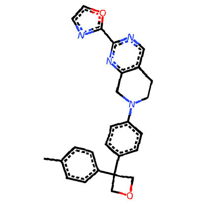 Cc1ccc(C2(c3ccc(N4CCc5cnc(-c6ncco6)nc5C4)cc3)COC2)cc1